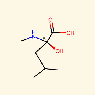 CN[C@@](O)(CC(C)C)C(=O)O